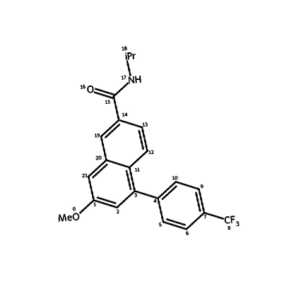 COc1cc(-c2ccc(C(F)(F)F)cc2)c2ccc(C(=O)NC(C)C)cc2c1